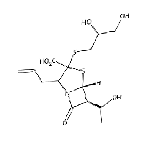 C=CCC1N2C(=O)[C@H](C(C)O)[C@H]2SC1(SCC(O)CO)C(=O)O